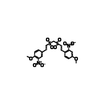 COc1ccc(C=CS(=O)(=O)CS(=O)(=O)C=Cc2ccc(OC)c([N+](=O)[O-])c2)c([N+](=O)[O-])c1